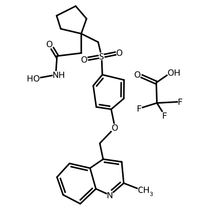 Cc1cc(COc2ccc(S(=O)(=O)CC3(CC(=O)NO)CCCC3)cc2)c2ccccc2n1.O=C(O)C(F)(F)F